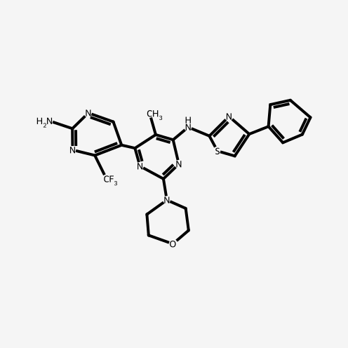 Cc1c(Nc2nc(-c3ccccc3)cs2)nc(N2CCOCC2)nc1-c1cnc(N)nc1C(F)(F)F